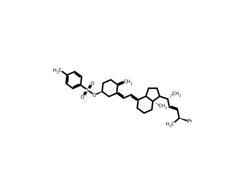 C=C1CC[C@H](OS(=O)(=O)c2ccc(C)cc2)C/C1=C/C=C1\CCC[C@@]2(C)C1CCC2[C@H](C)/C=C/[C@H](C)C(C)C